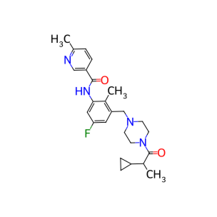 Cc1ccc(C(=O)Nc2cc(F)cc(CN3CCN(C(=O)C(C)C4CC4)CC3)c2C)cn1